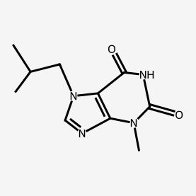 CC(C)Cn1cnc2c1c(=O)[nH]c(=O)n2C